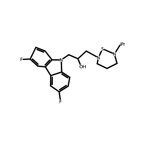 CC(C)N1CCCN(CC(O)Cn2c3ccc(F)cc3c3cc(F)ccc32)S1